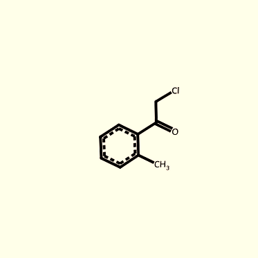 Cc1ccccc1C(=O)CCl